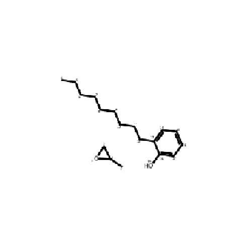 CC1CO1.CCCCCCCCCc1ccccc1O